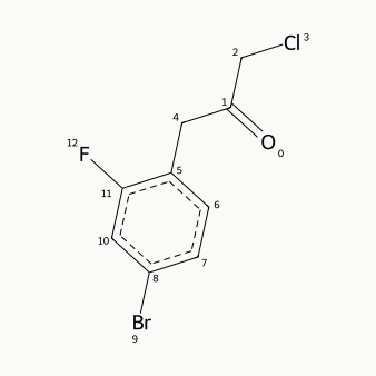 O=C(CCl)Cc1ccc(Br)cc1F